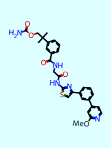 COc1cc(-c2cccc(-c3csc(NC(=O)CNC(=O)c4cccc(C(C)(C)COC(N)=O)c4)n3)c2)ccn1